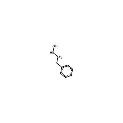 [SiH3]N[SiH2]Cc1ccccc1